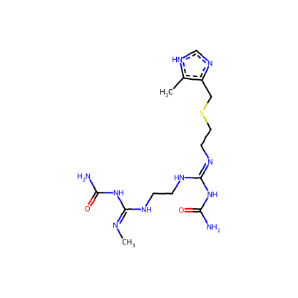 C/N=C(\NCCN/C(=N\CCSCc1nc[nH]c1C)NC(N)=O)NC(N)=O